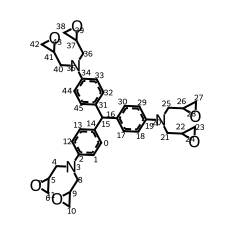 c1cc(N(CC2CO2)CC2CO2)ccc1C(c1ccc(N(CC2CO2)CC2CO2)cc1)c1ccc(N(CC2CO2)CC2CO2)cc1